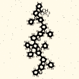 CC1(C)c2ccccc2-c2ccc3c(c21)c1ccc(-c2ccc4c(c2)c2cc5c(cc2n4-c2ccccc2)oc2c(-c4cc6c(c7ccc(-c8ccc9c(c8)c8cc%10c(cc8n9-c8ccccc8)oc8ccccc8%10)cc7n6-c6ccccc6)c6c4c4ccccc4n6-c4ccccc4)cccc25)cc1n3-c1ccccc1